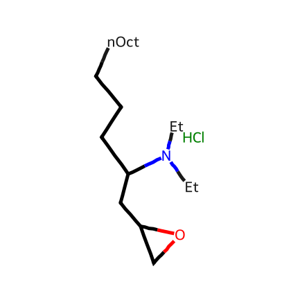 CCCCCCCCCCCC(CC1CO1)N(CC)CC.Cl